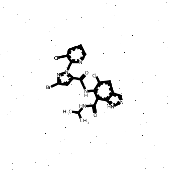 CC(C)NC(=O)c1c(NC(=O)c2cc(Br)nn2-c2ncccc2Cl)c(Cl)cc2cn[nH]c12